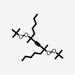 CCCCCC(C)(C#CC(C)(CCCCC)OOC(C)(C)C)OOC(C)(C)C